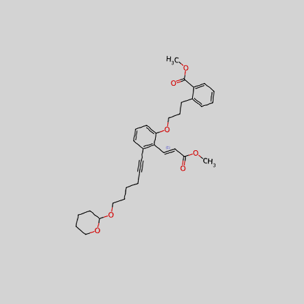 COC(=O)/C=C/c1c(C#CCCCCOC2CCCCO2)cccc1OCCCc1ccccc1C(=O)OC